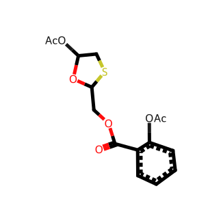 CC(=O)Oc1ccccc1C(=O)OCC1OC(OC(C)=O)CS1